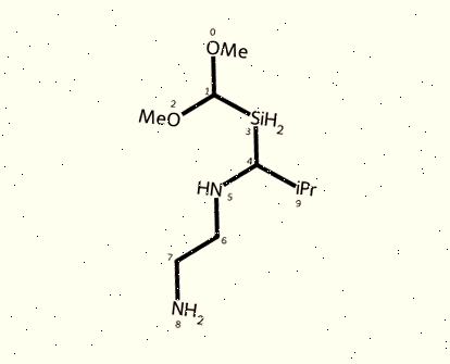 COC(OC)[SiH2]C(NCCN)C(C)C